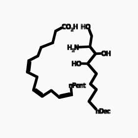 CCCCC/C=C\C/C=C\C/C=C\CCCCC(=O)O.CCCCCCCCCCCCCCC(O)C(O)C(N)CO